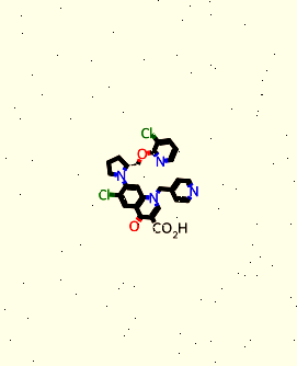 O=C(O)c1cn(Cc2ccncc2)c2cc(N3CCC[C@@H]3COc3ncccc3Cl)c(Cl)cc2c1=O